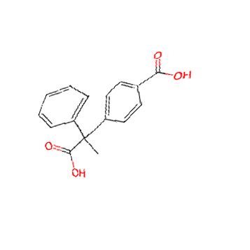 CC(C(=O)O)(c1ccccc1)c1ccc(C(=O)O)cc1